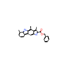 CC1=c2c(cc3c(c2C)N=c2c(C)cccc2=3)N=C1C(=O)OCc1ccccc1